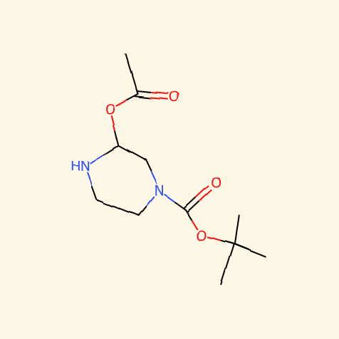 CC(=O)OC1CN(C(=O)OC(C)(C)C)CCN1